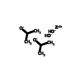 CC(C)[O-].CC(C)[O-].[OH-].[OH-].[Zr+4]